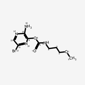 COCCCNC(=O)Oc1nc(Br)cnc1N